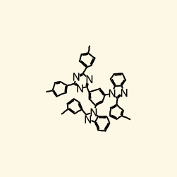 Cc1ccc(-c2nc(-c3ccc(C)cc3)nc(-c3cc(-n4c(-c5cccc(C)c5)nc5ccccc54)cc(-n4c(-c5cccc(C)c5)nc5ccccc54)c3)n2)cc1